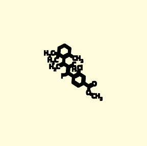 C=C(C1=C(C)CCCC1(C)C)/C(C)=C(\F)c1ccc(C(=O)OC)cc1Cl